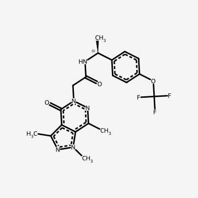 Cc1nn(C)c2c(C)nn(CC(=O)N[C@@H](C)c3ccc(OC(F)(F)F)cc3)c(=O)c12